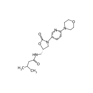 CC(C)CC(=O)NC[C@H]1CN(c2ccc(N3CCOCC3)nc2)C(=O)O1